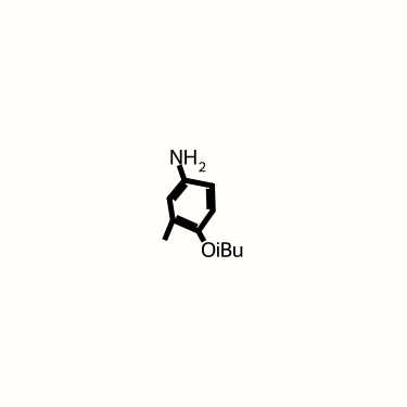 Cc1cc(N)ccc1OCC(C)C